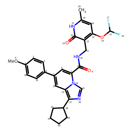 COc1ccc(-c2cc(C(=O)NCc3c(OC(F)F)cc(C)[nH]c3=O)n3cnc(C4CCCC4)c3c2)cc1